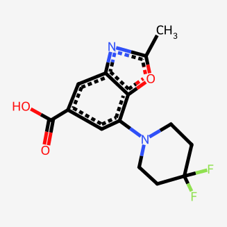 Cc1nc2cc(C(=O)O)cc(N3CCC(F)(F)CC3)c2o1